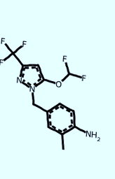 Cc1cc(Cn2nc(C(F)(F)F)cc2OC(F)F)ccc1N